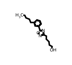 CCCCCc1cccc(-c2nc(CCCCCO)no2)c1